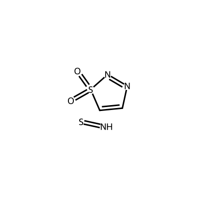 N=S.O=S1(=O)C=CN=N1